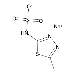 Cc1nnc(NS(=O)(=O)[O-])s1.[Na+]